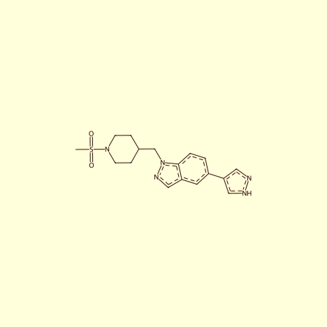 CS(=O)(=O)N1CCC(Cn2ncc3cc(-c4cn[nH]c4)ccc32)CC1